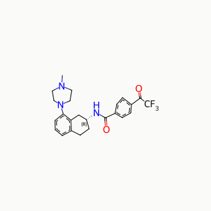 CN1CCN(c2cccc3c2C[C@H](NC(=O)c2ccc(C(=O)C(F)(F)F)cc2)CC3)CC1